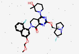 COCOc1cc(N2CCc3c(nc(OC[C@@]45CCCN4C[C@H](F)C5)nc3N3CCCC(C)(O)C3)C2=O)c2c(F)cccc2c1